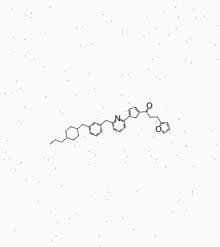 CCCC1CCC(Cc2cccc(Cc3cccc(C4=CC=C(C(=O)CCc5ccco5)C4)n3)c2)CC1